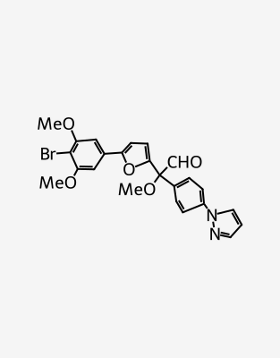 COc1cc(-c2ccc(C(C=O)(OC)c3ccc(-n4cccn4)cc3)o2)cc(OC)c1Br